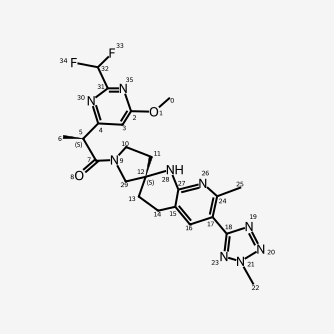 COc1cc([C@H](C)C(=O)N2CC[C@@]3(CCc4cc(-c5nnn(C)n5)c(C)nc4N3)C2)nc(C(F)F)n1